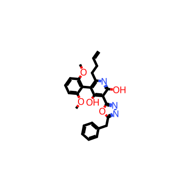 C=CCCc1nc(O)c(-c2nnc(Cc3ccccc3)o2)c(O)c1-c1c(OC)cccc1OC